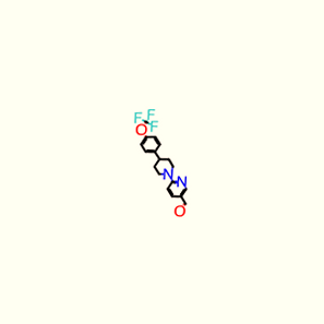 O=Cc1ccc(N2CCC(c3ccc(OC(F)(F)F)cc3)CC2)nc1